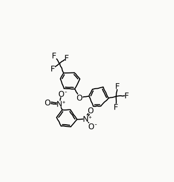 FC(F)(F)c1ccc(Oc2ccc(C(F)(F)F)cc2)cc1.O=[N+]([O-])c1cccc([N+](=O)[O-])c1